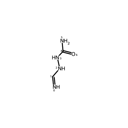 N=[C]NNC(N)=O